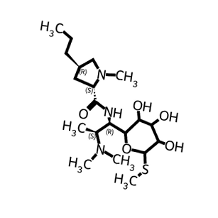 CCC[C@@H]1C[C@@H](C(=O)N[C@@H](C2OC(SC)C(O)C(O)C2O)[C@H](C)N(C)C)N(C)C1